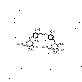 CC(=O)OC[C@H]1OC(Oc2ccc(CCCc3ccc(OC4O[C@H](COC(C)=O)[C@@H](OC(C)=O)[C@H](OC(C)=O)[C@H]4OC(C)=O)cc3O)c(O)c2)[C@H](OC(C)=O)[C@@H](OC(C)=O)[C@@H]1OC(C)=O